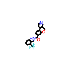 O=C(NCc1ccccc1C(F)(F)F)c1ccc2c(c1)OCc1cnccc1-2